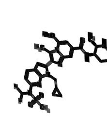 COc1cc(C(=O)N[C@@H]2CCCN[C@@H]2C)cc2nc(-c3cc4ccc(N(C(F)F)S(C)(=O)=O)nc4n3CC3CC3)c(C)n12